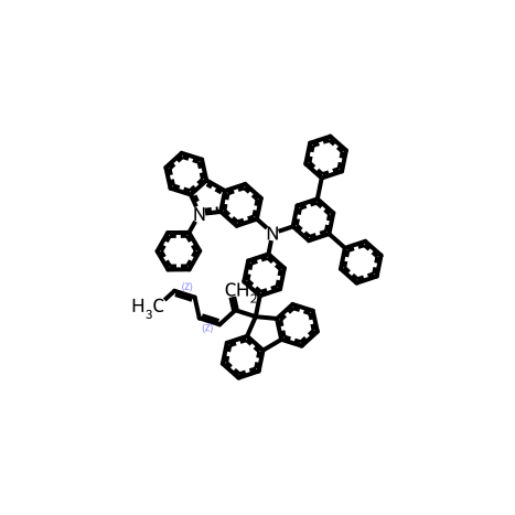 C=C(/C=C\C=C/C)C1(c2ccc(N(c3cc(-c4ccccc4)cc(-c4ccccc4)c3)c3ccc4c5ccccc5n(-c5ccccc5)c4c3)cc2)c2ccccc2-c2ccccc21